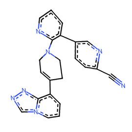 N#Cc1ccc(-c2cccnc2N2CC=C(c3cccn4cnnc34)CC2)cn1